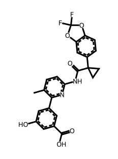 Cc1ccc(NC(=O)C2(c3ccc4c(c3)OC(F)(F)O4)CC2)nc1-c1cc(O)cc(C(=O)O)c1